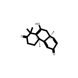 CC1(C)C(=O)CC[C@]2(C)C3=CC(=O)C=C[C@]3(C)CC(O)=C12